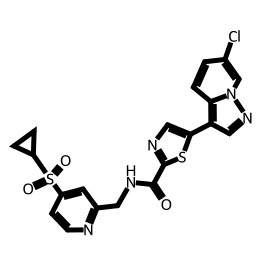 O=C(NCc1cc(S(=O)(=O)C2CC2)ccn1)c1ncc(-c2cnn3cc(Cl)ccc23)s1